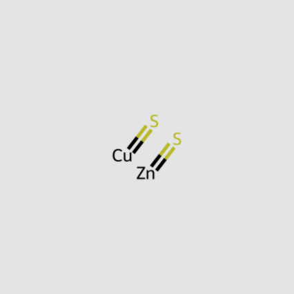 [S]=[Cu].[S]=[Zn]